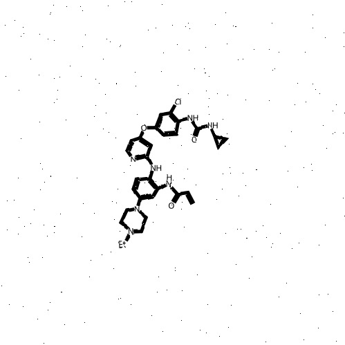 C=CC(=O)Nc1cc(N2CCN(CC)CC2)ccc1Nc1cc(Oc2ccc(NC(=O)NC3CC3)c(Cl)c2)ccn1